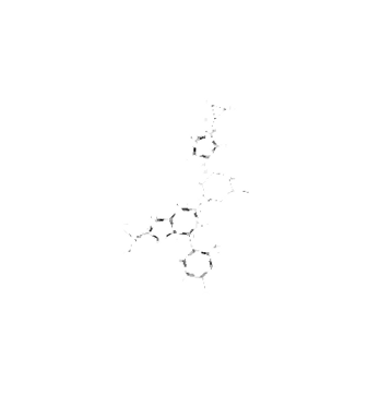 C[C@H]1CN(c2nc(-c3ccc(F)cc3F)c3sc(N(C)C)nc3n2)C[C@H](c2cnn(C3CC3)c2)O1